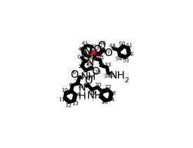 CC1CC(NC(=O)C(Cc2ccccc2)NC(=O)C(N)Cc2ccccc2)C(=O)N1C(CCCCN)C(=O)N1C2CC1CN(CC(=O)OCc1ccccc1)C2